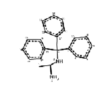 CC(N)NC(c1ccccc1)(c1ccccc1)c1ccccc1